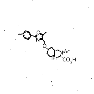 CC(=O)N(C[C@H]1CCC[C@@H](OCc2nc(-c3ccc(C)cc3)oc2C)C1)[C@H](C(=O)O)C(C)C